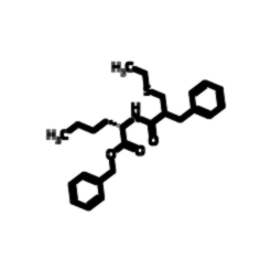 CCCC[C@H](NC(=O)C(CSCC)Cc1ccccc1)C(=O)OCc1ccccc1